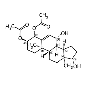 CC(=O)O[C@@H]1C2=C[C@H](O)[C@H]3[C@@H]4CC[C@H](O)[C@@]4(C)CC[C@@H]3[C@@]2(C)CC[C@H]1OC(C)=O